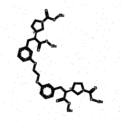 CC(C)(C)OC(=O)C(Cc1cccc(OCCOc2cccc(CC(C(=O)OC(C)(C)C)[C@H]3CCN(C(=O)OC(C)(C)C)C3)c2)c1)[C@H]1CCN(C(=O)OC(C)(C)C)C1